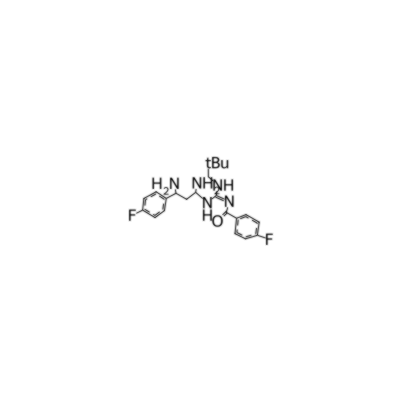 CC(C)(C)CN/C(=N/C(=O)c1ccc(F)cc1)NC(N)CC(N)c1ccc(F)cc1